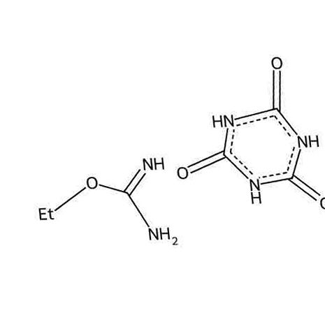 CCOC(=N)N.O=c1[nH]c(=O)[nH]c(=O)[nH]1